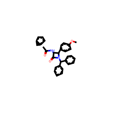 COc1ccc(C2C(NC(C)=O)C(=O)N2C(c2ccccc2)c2ccccc2)cc1.c1cc2cc-2c1